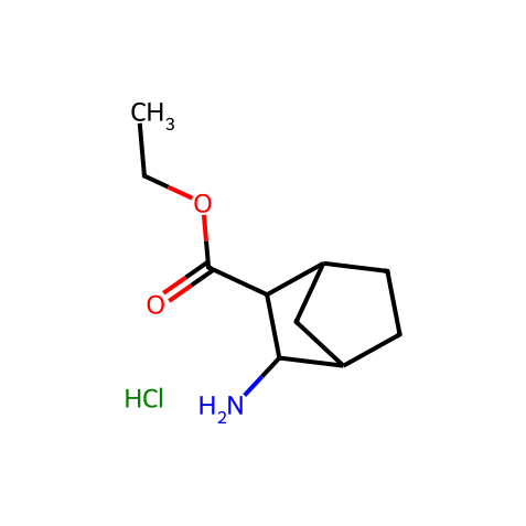 CCOC(=O)C1C2CCC(C2)C1N.Cl